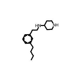 CCCCc1cccc(CCNC2CCNCC2)c1